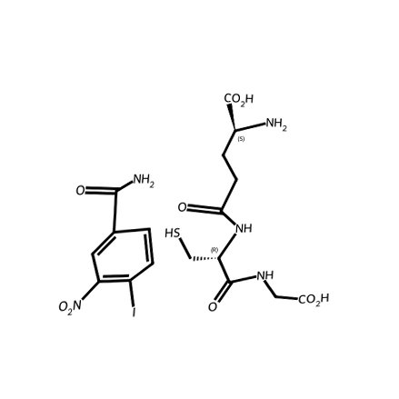 NC(=O)c1ccc(I)c([N+](=O)[O-])c1.N[C@@H](CCC(=O)N[C@@H](CS)C(=O)NCC(=O)O)C(=O)O